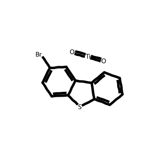 Brc1ccc2sc3ccccc3c2c1.[O]=[Ti]=[O]